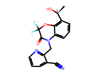 C[C@H](O)c1cccc2c1OC(F)(F)C(=O)N2Cc1ncccc1C#N